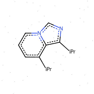 CC(C)c1cccn2cnc(C(C)C)c12